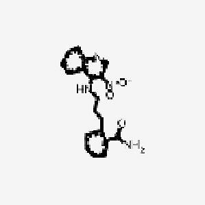 NC(=O)c1ccccc1CCCNc1c([N+](=O)[O-])cnc2ccccc12